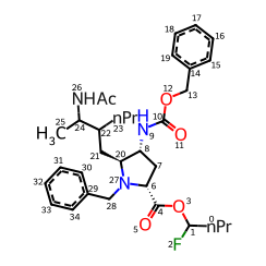 CCCC(F)OC(=O)[C@H]1C[C@@H](NC(=O)OCc2ccccc2)[C@H](CC(CCC)C(C)NC(C)=O)N1Cc1ccccc1